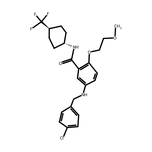 COCCOc1ccc(NCc2c[c]c(Cl)cc2)cc1C(=O)N[C@H]1CC[C@H](C(F)(F)F)CC1